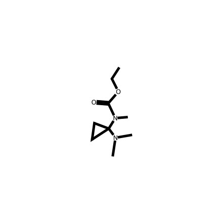 CCOC(=O)N(C)C1(N(C)C)CC1